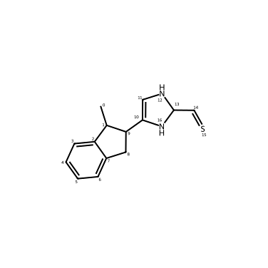 CC1c2ccccc2CC1C1=CNC(C=S)N1